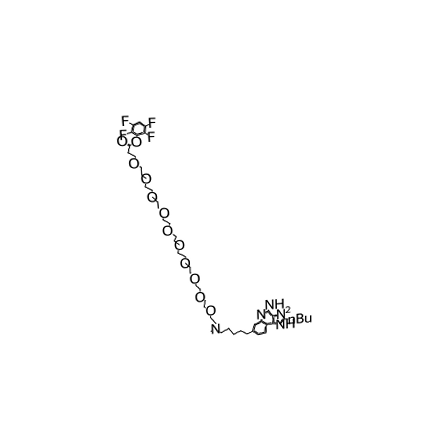 CCCCc1nc2c(N)nc3cc(CCCCCN(C)CCOCCOCCOCCOCCOCCOCCOCCOCCOCCOCCC(=O)Oc4c(F)c(F)cc(F)c4F)ccc3c2[nH]1